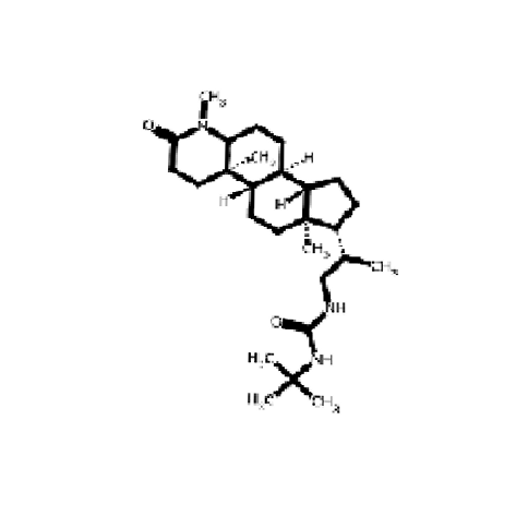 CC(CNC(=O)NC(C)(C)C)[C@H]1CC[C@H]2[C@@H]3CCC4N(C)C(=O)CC[C@]4(C)[C@H]3CC[C@]12C